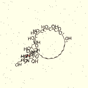 C[C@@H]1[C@H](O)[C@@H](C)/C=C/C=C/C=C/C=C/C=C/C=C/C=C/[C@H](O[C@@H]2O[C@H](C)[C@@H](O)[C@H](N)[C@@H]2O)C[C@@H]2O[C@](O)(C[C@@H](O)C[C@@H](O)[C@H](O)CC[C@@H](O)C[C@@H](O)CC(=O)O[C@H]1C)C[C@H](O)[C@H]2NC(=O)NNC(=O)CCCO